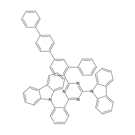 c1ccc(-c2ccc(-c3ccc(-c4nc(-c5ccccc5-n5c6ccccc6c6ccccc65)nc(-n5c6ccccc6c6ccccc65)n4)c(-c4ccccc4)c3)cc2)cc1